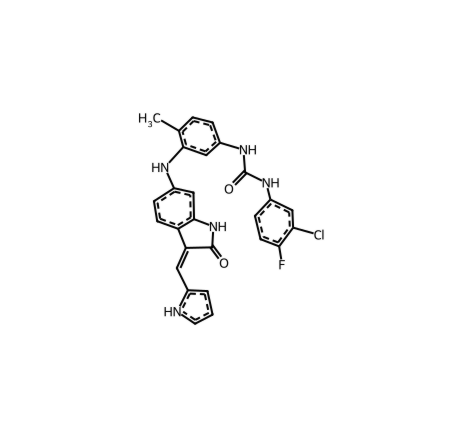 Cc1ccc(NC(=O)Nc2ccc(F)c(Cl)c2)cc1Nc1ccc2c(c1)NC(=O)C2=Cc1ccc[nH]1